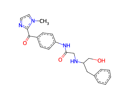 Cn1ccnc1C(=O)c1ccc(NC(=O)CNC(CO)Cc2ccccc2)cc1